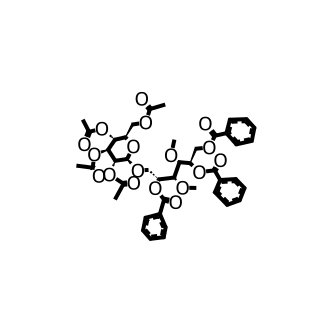 CO[C@@H]([C@H](OC)[C@@H](CO[C@@H]1O[C@H](COC(C)=O)[C@@H](OC(C)=O)[C@H](OC(C)=O)[C@H]1OC(C)=O)OC(=O)c1ccccc1)[C@@H](COC(=O)c1ccccc1)OC(=O)c1ccccc1